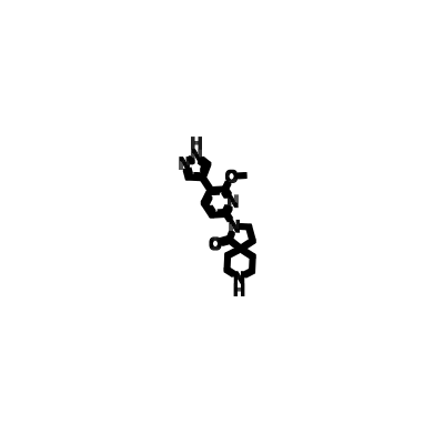 COc1nc(N2CCC3(CCNCC3)C2=O)ccc1-c1cn[nH]c1